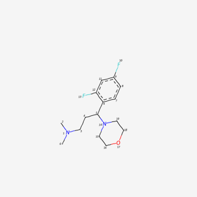 CN(C)CCC(c1ccc(F)cc1F)N1CCOCC1